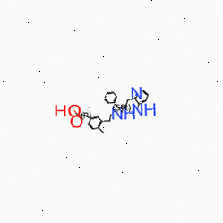 Cc1ccc([C@@H](C)C(=O)O)cc1CCN[C@H](c1ccccc1)[C@H]1CNc2cccnc2C1